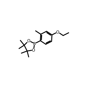 CCOc1ccc(B2OC(C)(C)C(C)(C)O2)c(C)c1